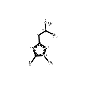 Cn1nc(C[C@H](N)C(=O)O)nc1Br